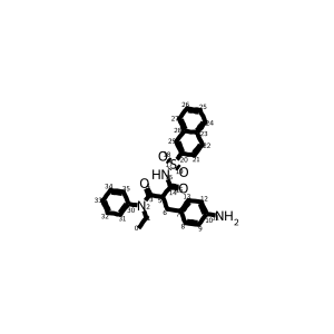 CCN(C(=O)C(Cc1ccc(N)cc1)C(=O)NS(=O)(=O)c1ccc2ccccc2c1)c1ccccc1